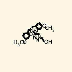 COc1ccc(CN(Cc2ccc(OC)cc2)S(=O)(=O)c2cn(CCO)nn2)cc1